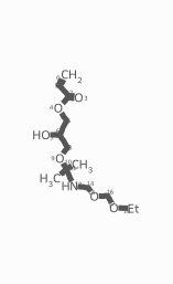 C=CC(=O)OCC(O)COC(C)(C)NCOCOCC